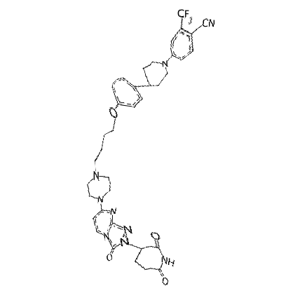 N#Cc1ccc(N2CCC(c3ccc(OCCCCN4CCN(c5ccn6c(=O)n(C7CCC(=O)NC7=O)nc6n5)CC4)cc3)CC2)cc1C(F)(F)F